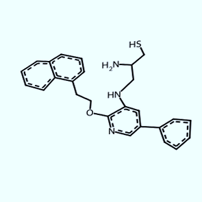 NC(CS)CNc1cc(-c2ccccc2)cnc1OCCc1cccc2ccccc12